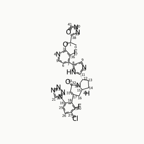 CC(Oc1nccc(-c2cnc([C@@H]3CC[C@H]4CC(c5c(-n6cnnn6)ccc(Cl)c5F)=CC(=O)N43)[nH]2)c1F)c1nnco1